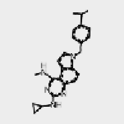 CNc1nc(NC2CC2)nc2ccc3c(ccn3Cc3ccc(C(C)C)cc3)c12